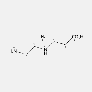 NCCNCCC(=O)O.[Na]